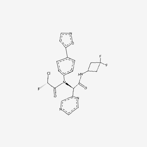 O=C(NC1CC(F)(F)C1)[C@@H](c1cnccn1)N(C(=O)[C@H](F)Cl)c1ccc(-c2ccno2)cc1